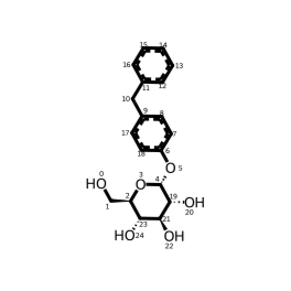 OC[C@H]1O[C@H](Oc2ccc(Cc3ccccc3)cc2)[C@H](O)[C@@H](O)[C@@H]1O